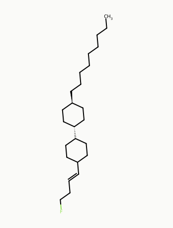 CCCCCCCCC[C@H]1CC[C@H](C2CCC(/C=C/CCF)CC2)CC1